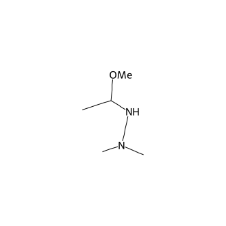 COC(C)NN(C)C